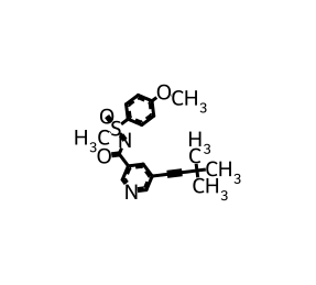 COc1ccc(S(C)(=O)=NC(=O)c2cncc(C#CC(C)(C)C)c2)cc1